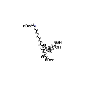 CCCCCCCCCC/C=C\CCCCCCCCCC(=O)O[C@H](COC(=O)CCCCCCCCCCC)COP(=O)(O)OC[C@@H](O)CO